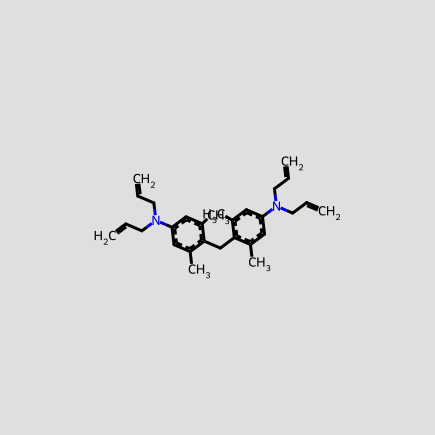 C=CCN(CC=C)c1cc(C)c(Cc2c(C)cc(N(CC=C)CC=C)cc2C)c(C)c1